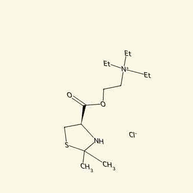 CC[N+](CC)(CC)CCOC(=O)[C@@H]1CSC(C)(C)N1.[Cl-]